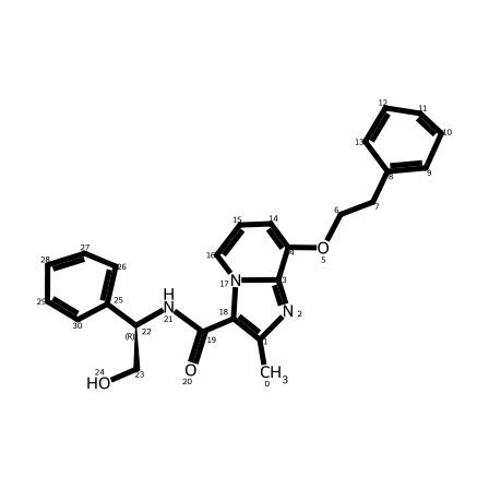 Cc1nc2c(OCCc3ccccc3)cccn2c1C(=O)N[C@@H](CO)c1ccccc1